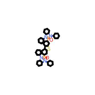 O=P1(c2ccc3c(c2)sc2cc(P4(=O)N(c5ccccc5)c5ccccc5N4c4ccccc4)ccc23)N(c2ccccc2)c2ccccc2N1c1ccccc1